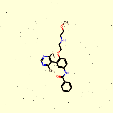 COCCNCCOc1ccc(NC(=O)c2ccccc2)cc1-c1c(C)ncnc1C